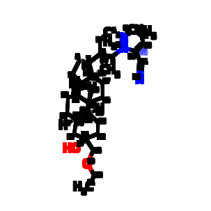 C=NN(C[C@H](CC)[C@H]1CC[C@H]2[C@@H]3CC[C@@H]4C[C@@](O)(COCC)CC[C@@H]4[C@H]3CC[C@]12C)/C(C#N)=C\C